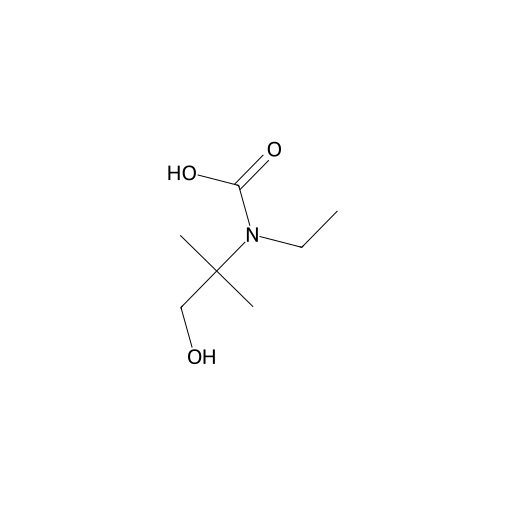 CCN(C(=O)O)C(C)(C)CO